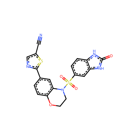 N#Cc1cnc(-c2ccc3c(c2)N(S(=O)(=O)c2ccc4[nH]c(=O)[nH]c4c2)CCO3)s1